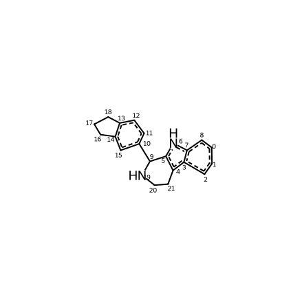 c1ccc2c3c([nH]c2c1)C(c1ccc2c(c1)CCC2)NCC3